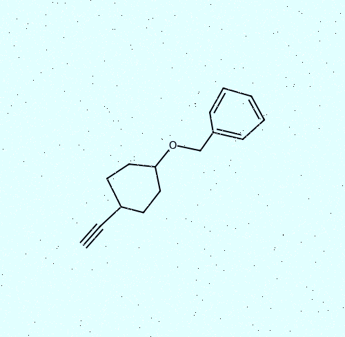 C#CC1CCC(OCc2ccccc2)CC1